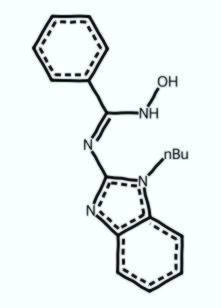 CCCCn1c(N=C(NO)c2ccccc2)nc2ccccc21